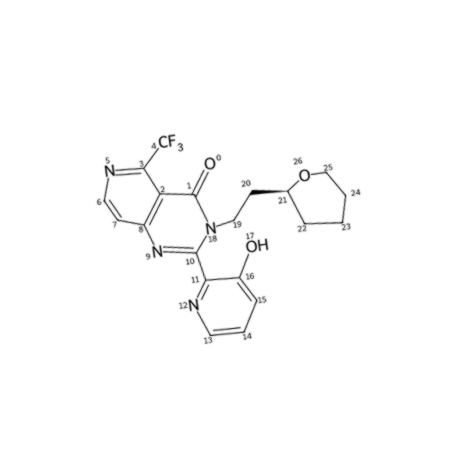 O=c1c2c(C(F)(F)F)nccc2nc(-c2ncccc2O)n1CC[C@@H]1CCCCO1